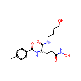 Cc1ccc(C(=O)N[C@@H](CCC(=O)NO)C(=O)NCCCCO)cc1